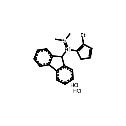 CCC1=[C]([Hf]([CH]2c3ccccc3-c3ccccc32)=[Si](C)C)CC=C1.Cl.Cl